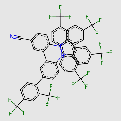 N#Cc1ccc(-n2c3ccc(C(F)(F)F)cc3c3cc(C(F)(F)F)ccc32)c(-c2cc(-c3ccc(C(F)(F)F)cc3C(F)(F)F)ccc2-n2c3ccc(C(F)(F)F)cc3c3cc(C(F)(F)F)ccc32)c1